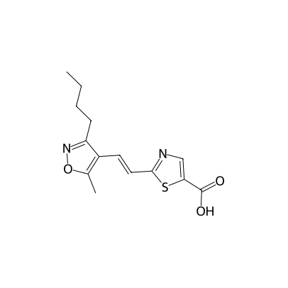 CCCCc1noc(C)c1/C=C/c1ncc(C(=O)O)s1